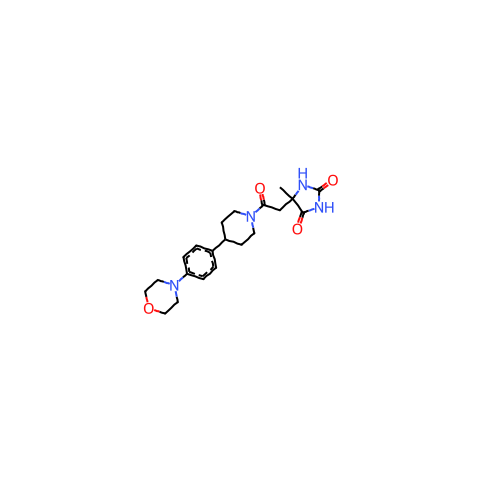 CC1(CC(=O)N2CCC(c3ccc(N4CCOCC4)cc3)CC2)NC(=O)NC1=O